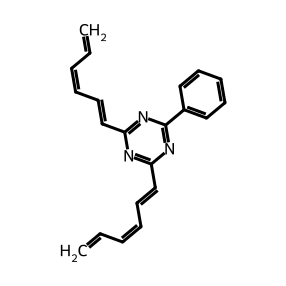 C=C/C=C\C=C\c1nc(/C=C/C=C\C=C)nc(-c2ccccc2)n1